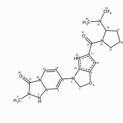 CN1NC2C=C(N3COc4cc(C(=O)N5CCCC5N(C)C)[nH]c43)C=CN2C1=O